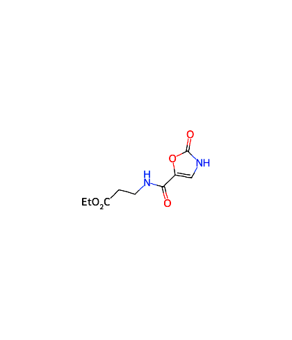 CCOC(=O)CCNC(=O)c1c[nH]c(=O)o1